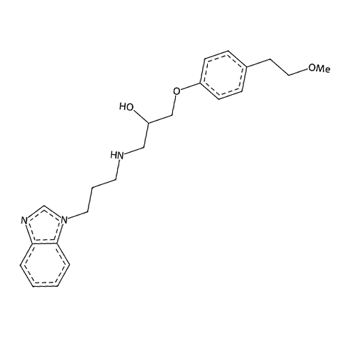 COCCc1ccc(OCC(O)CNCCCn2cnc3ccccc32)cc1